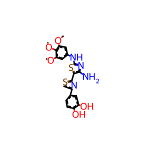 COc1cc(Nc2nc(N)c(-c3nc(-c4ccc(O)c(O)c4)cs3)s2)cc(OC)c1OC